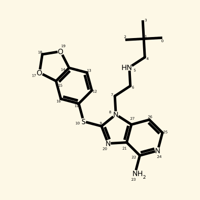 CC(C)(C)CNCCn1c(Sc2ccc3c(c2)OCO3)nc2c(N)nccc21